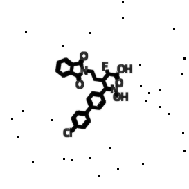 O=C(O)C(F)C(CCN1C(=O)c2ccccc2C1=O)C(=NO)c1ccc(-c2ccc(Cl)cc2)cc1